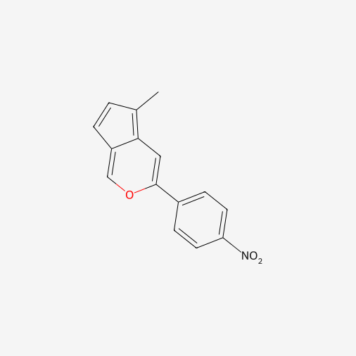 Cc1ccc2coc(-c3ccc([N+](=O)[O-])cc3)cc1-2